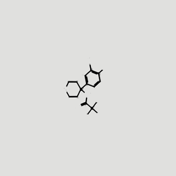 CC(C)(I)C(=O)OC1(c2ccc(Cl)c(C(F)(F)F)c2)CCNCC1